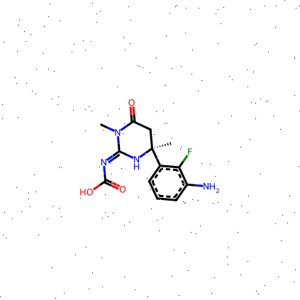 CN1C(=O)C[C@@](C)(c2cccc(N)c2F)N/C1=N\C(=O)O